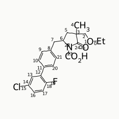 CCOCC1(C)CC(Cc2ccc(-c3cc(Cl)ccc3F)cc2)N(C(=O)O)C1=O